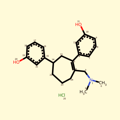 CN(C)CC1=C(c2cccc(O)c2)CC(c2cccc(O)c2)CCC1.Cl